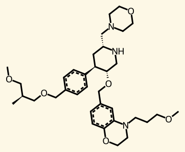 COCCCN1CCOc2ccc(CO[C@H]3CN[C@@H](CN4CCOCC4)C[C@@H]3c3ccc(COC[C@@H](C)COC)cc3)cc21